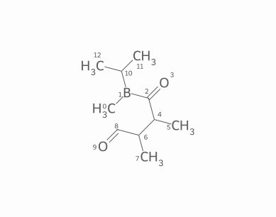 CB(C(=O)C(C)C(C)C=O)C(C)C